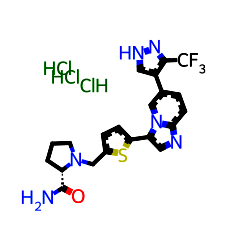 Cl.Cl.Cl.NC(=O)[C@@H]1CCCN1Cc1ccc(-c2cnc3ccc(-c4c[nH]nc4C(F)(F)F)cn23)s1